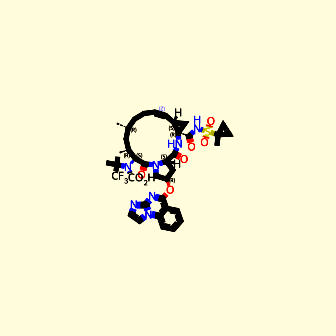 C[C@@H]1CC/C=C\[C@@H]2C[C@@]2(C(=O)NS(=O)(=O)C2(C)CC2)NC(=O)[C@@H]2C[C@@H](Oc3nc4nccn4c4ccccc34)CN2C(=O)[C@@H](N(C(=O)O)C(C)(C)C(F)(F)F)[C@H](C)C1